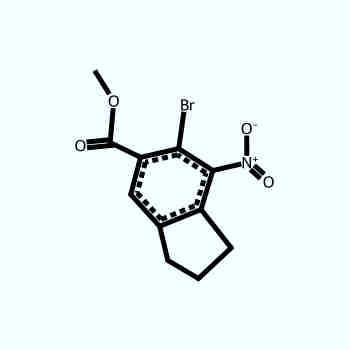 COC(=O)c1cc2c(c([N+](=O)[O-])c1Br)CCC2